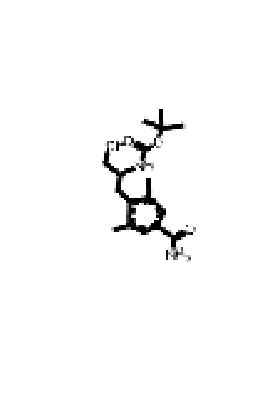 Cc1cc(C(N)=O)cc(C)c1CC(CO)NC(=O)OC(C)(C)C